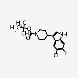 CC(C)(C)OC(=O)N1CCC(c2c[nH]c3cc(F)c(Cl)cc23)CC1